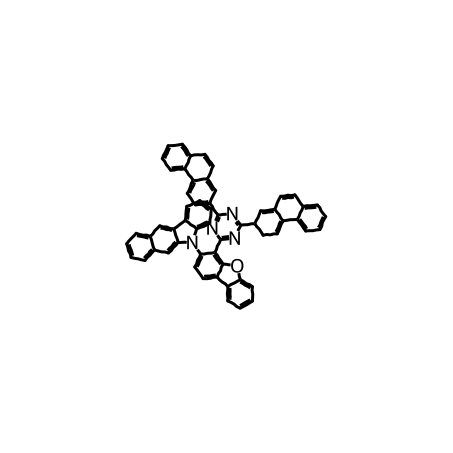 C1=c2ccc3ccccc3c2=CCC1c1nc(-c2ccc3c(ccc4ccccc43)c2)nc(-c2c(-n3c4ccccc4c4cc5ccccc5cc43)ccc3c2oc2ccccc23)n1